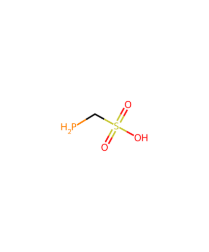 O=S(=O)(O)CP